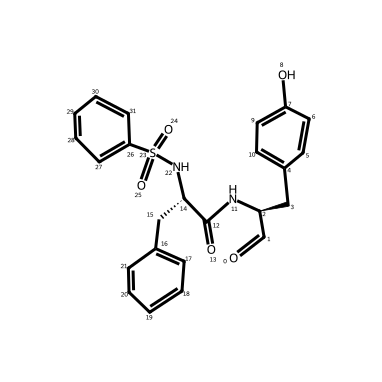 O=C[C@H](Cc1ccc(O)cc1)NC(=O)[C@H](Cc1ccccc1)NS(=O)(=O)c1ccccc1